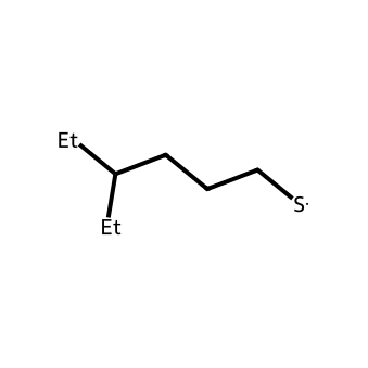 CCC(CC)CCC[S]